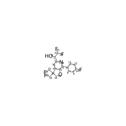 OC(c1cc2c(c(-c3ccc(F)cc3)n1)OCC2(CF)CF)C(F)F